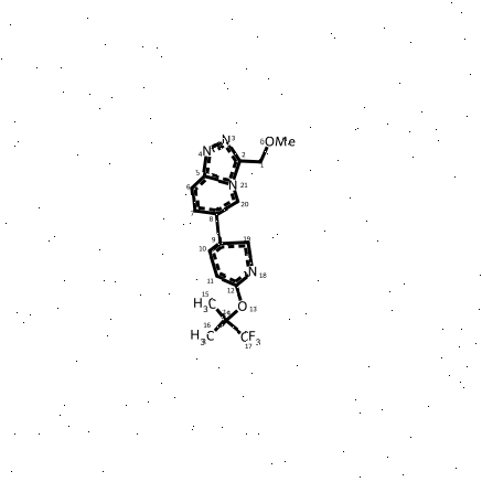 COCc1nnc2ccc(-c3ccc(OC(C)(C)C(F)(F)F)nc3)cn12